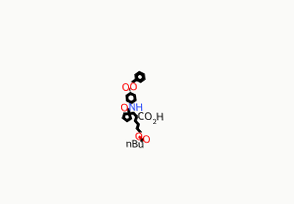 CCCCC(=O)OCCCCC(CC1(C(=O)N[C@H]2CC[C@@H](C(=O)OCc3ccccc3)CC2)CCCC1)C(=O)O